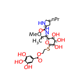 CCC[C@H]1CN[C@H](C(=O)N[C@@H]([C@H]2O[C@H](SCCOC(=O)c3cc(O)c(O)c(O)c3)[C@H](O)[C@@H](O)[C@H]2O)[C@@H](C)OC)C1